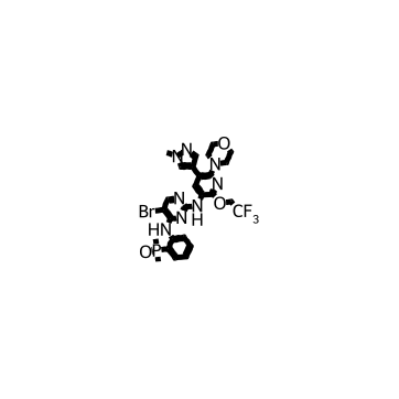 Cn1cc(-c2cc(Nc3ncc(Br)c(Nc4ccccc4P(C)(C)=O)n3)c(OCC(F)(F)F)nc2N2CCOCC2)cn1